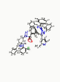 Cc1cc(-c2nn(C(c3ccccc3)(c3ccccc3)c3ccccc3)c3ccc(C(=O)NC4CCCC(Cc5ccccc5F)(NCc5ccccc5)C4)cc23)ccn1